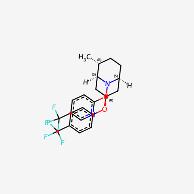 C[C@@H]1CC[C@H]2C[C@@H](Oc3ccc(C(F)(F)F)cc3)C[C@@H]1N2Oc1ccc(C(F)(F)F)cn1